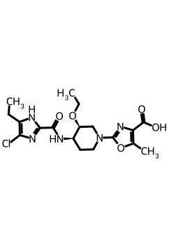 CCO[C@H]1CN(c2nc(C(=O)O)c(C)o2)CC[C@H]1NC(=O)c1nc(Cl)c(CC)[nH]1